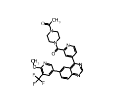 COc1ncc(-c2ccc3ncnc(-c4ccnc(C(=O)N5CCN(C(C)=O)CC5)c4)c3c2)cc1C(F)(F)F